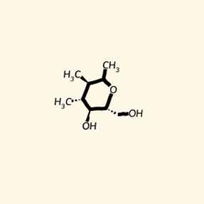 CC1O[C@H](CO)[C@@H](O)[C@H](C)[C@H]1C